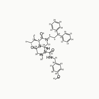 CCC(C)[C@H]1C(=O)N(CCC(c2ccccc2)c2ccccc2)C[C@H]2N1C(=O)CN(C)N2C(=O)NCc1ccc(OC)cc1